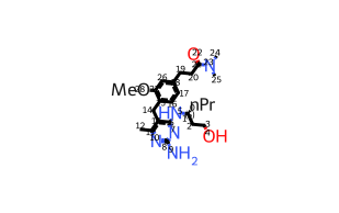 CCC[C@@H](CCO)Nc1nc(N)nc(C)c1Cc1ccc(CCC(=O)N(C)C)cc1OC